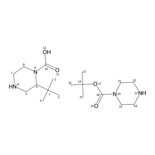 CC(C)(C)C1CNCCN1C(=O)O.CC(C)(C)OC(=O)N1CCNCC1